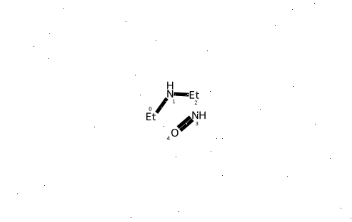 CCNCC.N=O